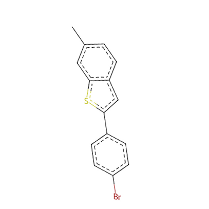 Cc1ccc2cc(-c3ccc(Br)cc3)sc2c1